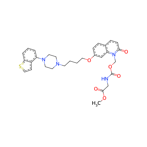 COC(=O)CNC(=O)OCn1c(=O)ccc2ccc(OCCCCN3CCN(c4cccc5sccc45)CC3)cc21